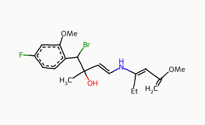 C=C(/C=C(\CC)N/C=C/C(C)(O)C(Br)c1ccc(F)cc1OC)OC